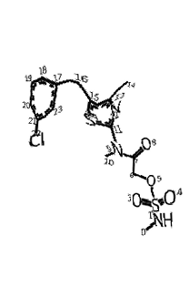 CNS(=O)(=O)OCC(=O)N(C)c1nc(C)c(Cc2cccc(Cl)c2)s1